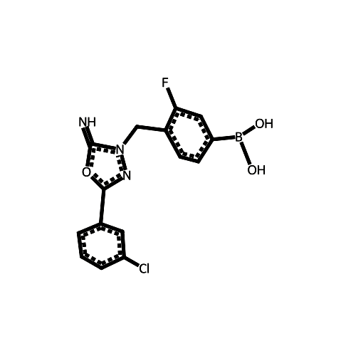 N=c1oc(-c2cccc(Cl)c2)nn1Cc1ccc(B(O)O)cc1F